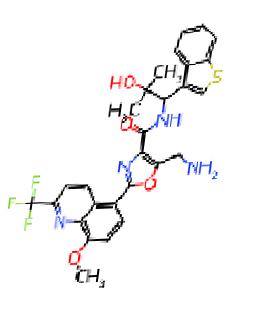 COc1ccc(-c2nc(C(=O)NC(c3csc4ccccc34)C(C)(C)O)c(CN)o2)c2ccc(C(F)(F)F)nc12